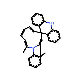 C\C1=C/C=C\C=C\C2(c3ccccc3Nc3ccccc32)c2cccc(C)c2N1c1ccccc1C